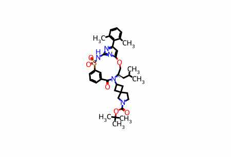 Cc1cccc(C)c1-c1cc2nc(n1)NS(=O)(=O)c1cccc(c1)C(=O)N(C1CC3(CCN(C(=O)OC(C)(C)C)C3)C1)[C@H](CC(C)C)CO2